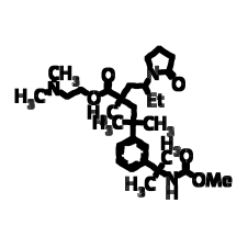 CCC(CC(C)(CC(C)(C)c1cccc(C(C)(C)NC(=O)OC)c1)C(=O)OCCN(C)C)N1CCCC1=O